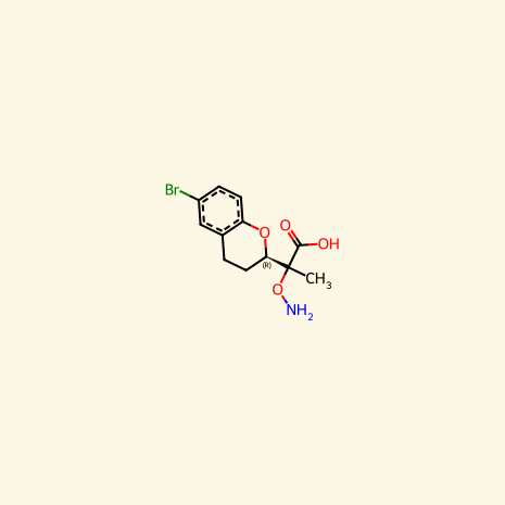 CC(ON)(C(=O)O)[C@H]1CCc2cc(Br)ccc2O1